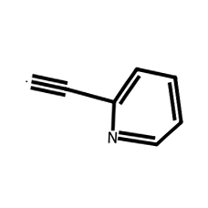 [C]#Cc1ccccn1